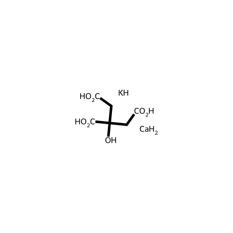 O=C(O)CC(O)(CC(=O)O)C(=O)O.[CaH2].[KH]